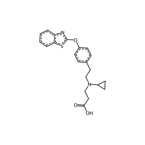 O=C(O)CCN(CCc1ccc(Oc2nc3ccccc3s2)cc1)C1CC1